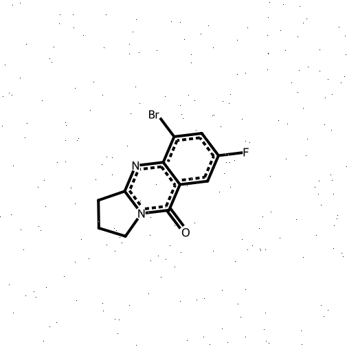 O=c1c2cc(F)cc(Br)c2nc2n1CCC2